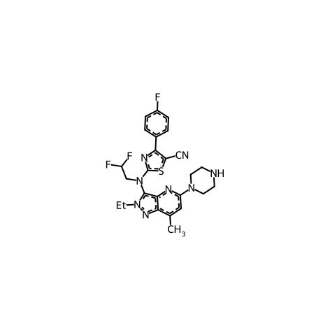 CCn1nc2c(C)cc(N3CCNCC3)nc2c1N(CC(F)F)c1nc(-c2ccc(F)cc2)c(C#N)s1